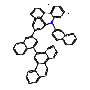 c1ccc(-c2ccccc2N(c2cccc(-c3cc(-c4cc5c6ccccc6ccc5c5ccccc45)c4ccccc4c3)c2)c2ccc3ccccc3c2)cc1